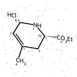 CCOC(=O)[C@@H]1CC(C)=CCN1.Cl